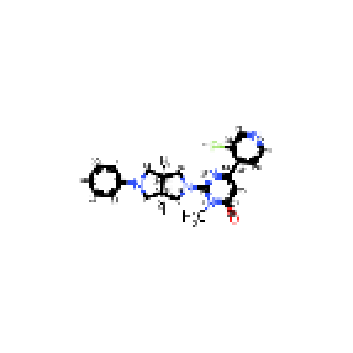 Cn1c(N2C[C@H]3CN(c4ccccc4)C[C@H]3C2)nc(-c2ccncc2F)cc1=O